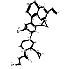 C=Cc1ccc2c(-c3cc(C#N)c(N4CCN(C(=O)CCO)C(C5CC5)C4)nc3C3CC3)cccc2n1